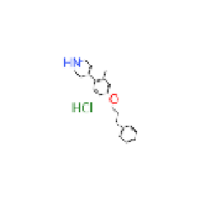 Cc1cc(OCCCc2ccccc2)ccc1C1=CCNCC1.Cl